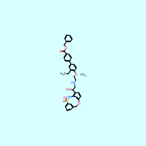 C.CCc1cc(-c2ccc(C(=O)OCc3ccccc3)cc2)ccc1OCCNCC(O)c1ccc2cc1NS(=O)(=O)c1cccc(c1)CO2